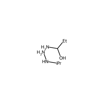 CC(C)NN.CCC(N)O